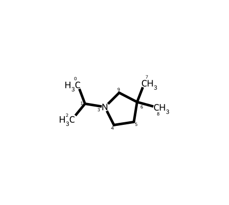 CC(C)N1CCC(C)(C)C1